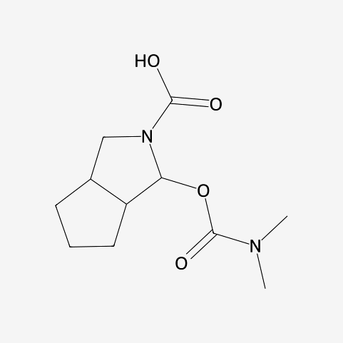 CN(C)C(=O)OC1C2CCCC2CN1C(=O)O